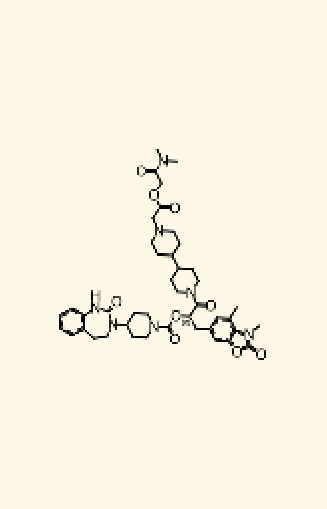 Cc1cc(C[C@@H](OC(=O)N2CCC(N3CCc4ccccc4NC3=O)CC2)C(=O)N2CCC(C3CCN(CC(=O)OCC(=O)N(C)C)CC3)CC2)cc2oc(=O)n(C)c12